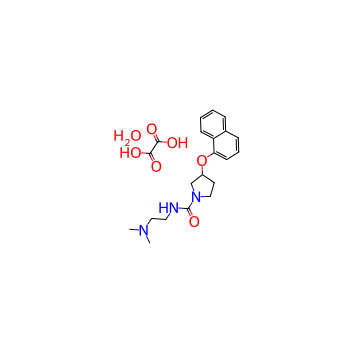 CN(C)CCNC(=O)N1CCC(Oc2cccc3ccccc23)C1.O.O=C(O)C(=O)O